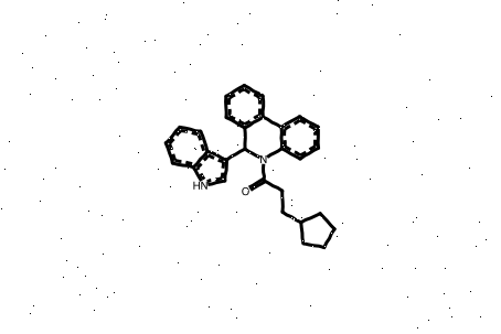 O=C(CCC1CCCC1)N1c2ccccc2-c2ccccc2C1c1c[nH]c2ccccc12